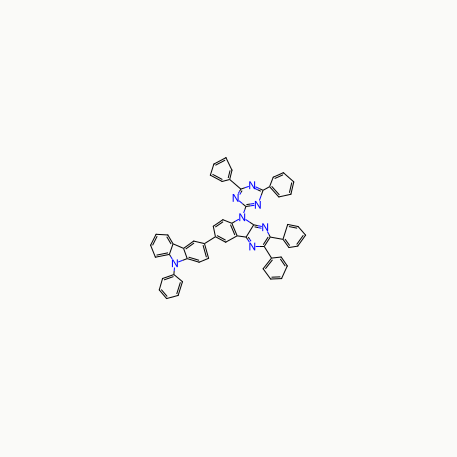 c1ccc(-c2nc(-c3ccccc3)nc(-n3c4ccc(-c5ccc6c(c5)c5ccccc5n6-c5ccccc5)cc4c4nc(-c5ccccc5)c(-c5ccccc5)nc43)n2)cc1